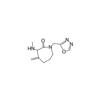 C=C1CCCN(Cc2nnco2)C(=O)C1NC